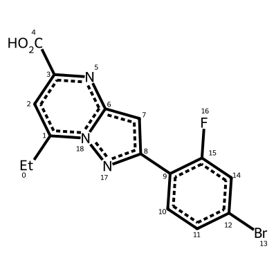 CCc1cc(C(=O)O)nc2cc(-c3ccc(Br)cc3F)nn12